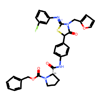 O=C(Nc1ccc(C2S/C(=N\c3cccc(F)c3)N(Cc3ccco3)C2=O)cc1)[C@@H]1CCCN1C(=O)OCc1ccccc1